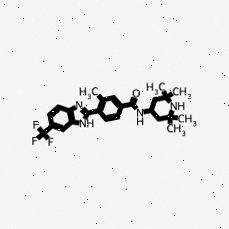 Cc1cc(C(=O)NC2CC(C)(C)NC(C)(C)C2)ccc1-c1nc2ccc(C(F)(F)F)cc2[nH]1